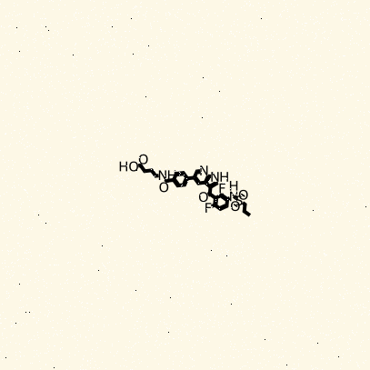 CCCS(=O)(=O)Nc1ccc(F)c(C(=O)c2c[nH]c3ncc(-c4ccc(C(=O)NCCCC(=O)O)cc4)cc23)c1F